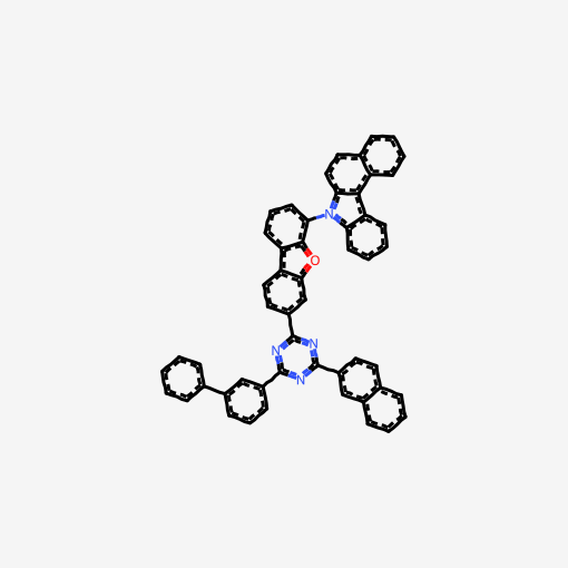 c1ccc(-c2cccc(-c3nc(-c4ccc5ccccc5c4)nc(-c4ccc5c(c4)oc4c(-n6c7ccccc7c7c8ccccc8ccc76)cccc45)n3)c2)cc1